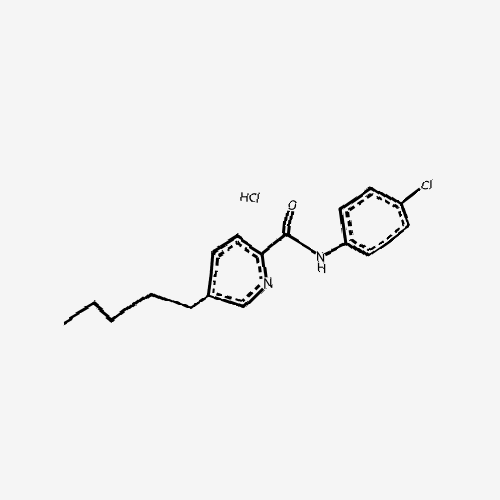 CCCCCc1ccc(C(=O)Nc2ccc(Cl)cc2)nc1.Cl